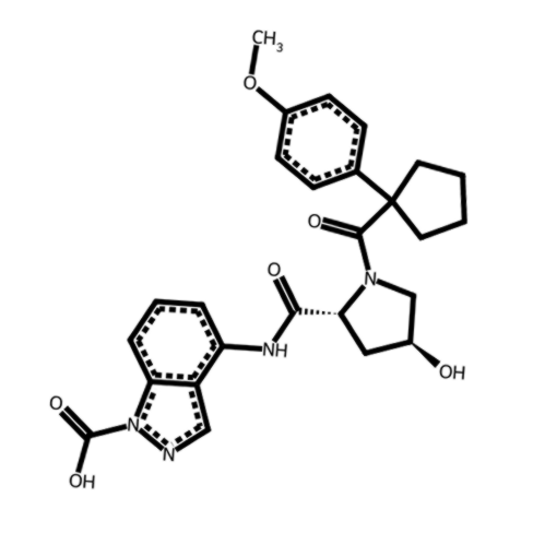 COc1ccc(C2(C(=O)N3C[C@@H](O)C[C@@H]3C(=O)Nc3cccc4c3cnn4C(=O)O)CCCC2)cc1